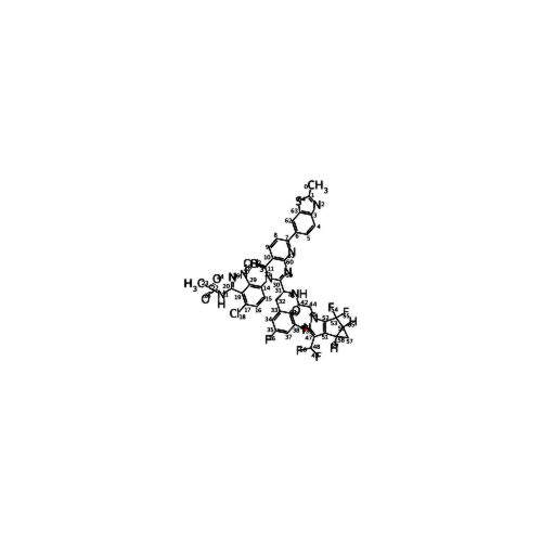 Cc1nc2ccc(-c3ccc4c(=O)n(-c5ccc(Cl)c6c(NS(C)(=O)=O)nn(C)c56)c([C@H](Cc5cc(F)cc(F)c5)NC(=O)Cn5nc(C(F)F)c6c5C(F)(F)[C@@H]5C[C@H]65)nc4n3)cc2s1